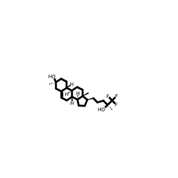 C[C@]1(O)CC[C@H]2C(=CC[C@@H]3[C@@H]2CC[C@]2(C)[C@@H](CCC[C@](C)(O)C(F)(F)F)CC[C@@H]32)C1